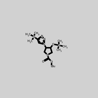 CC(C)(C)OC(=O)N1CC(O[Si](C)(C)C)C(n2cc([Si](C)(C)C)nn2)C1